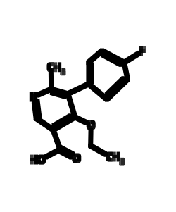 CCOc1c(C(=O)O)cnc(C)c1-c1ccc(F)cc1